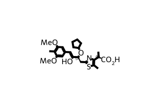 COc1cc(C=C(O)[C@H](Cc2nc([C@@H](C)C(=O)O)c(C)s2)OC2CCCC2)cc(OC)c1C